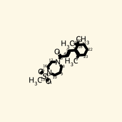 CC1=C(C=CC(=O)N2CCCN(S(C)(=O)=O)CC2)C(C)(C)CCC1